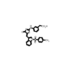 Cc1ccc(S(=O)(=O)n2cc(/C=C3\SC(Nc4cccc(CC(=O)O)c4)=NC3=O)c3ccccc32)cc1